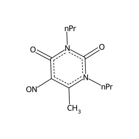 CCCn1c(C)c(N=O)c(=O)n(CCC)c1=O